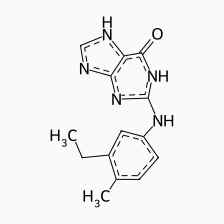 CCc1cc(Nc2nc3nc[nH]c3c(=O)[nH]2)ccc1C